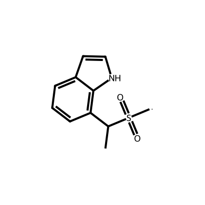 [CH2]S(=O)(=O)C(C)c1cccc2cc[nH]c12